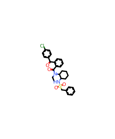 CCN(C(=O)c1ccccc1C(=O)c1ccc(Cl)cc1)C1CCCCC1NS(=O)(=O)Cc1ccccc1